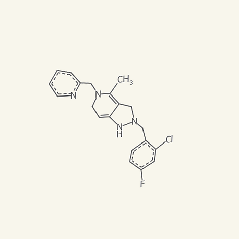 CC1=C2CN(Cc3ccc(F)cc3Cl)NC2=CCN1Cc1ccccn1